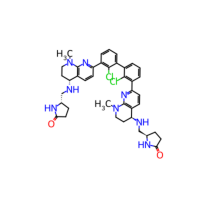 CN1CC[C@H](NC[C@H]2CCC(=O)N2)c2ccc(-c3cccc(-c4cccc(-c5ccc6c(n5)N(C)CC[C@H]6NC[C@@H]5CCC(=O)N5)c4Cl)c3Cl)nc21